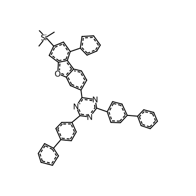 C[Si](C)(C)c1cc(-c2ccccc2)c2c(c1)oc1cc(-c3nc(-c4ccc(-c5ccccc5)cc4)nc(-c4ccc(-c5ccccc5)cc4)n3)ccc12